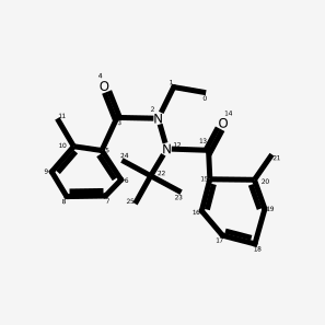 CCN(C(=O)c1ccccc1C)N(C(=O)c1ccccc1C)C(C)(C)C